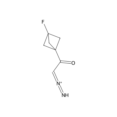 N=[N+]=CC(=O)C12CC(F)(C1)C2